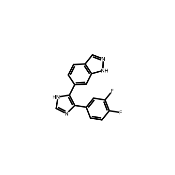 Fc1ccc(-c2nc[nH]c2-c2ccc3cn[nH]c3c2)cc1F